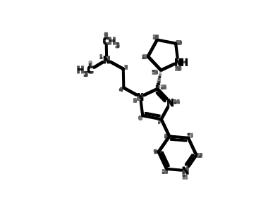 CN(C)CCn1cc(-c2ccncc2)nc1[C@@H]1CCCN1